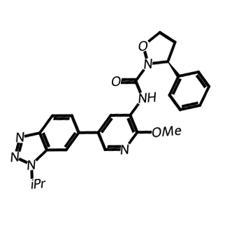 COc1ncc(-c2ccc3nnn(C(C)C)c3c2)cc1NC(=O)N1OCC[C@H]1c1ccccc1